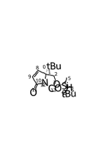 CC(C)(C)[C@@]1(CO[Si](C)(C)C(C)(C)C)C=CC(=O)N1C(=O)O